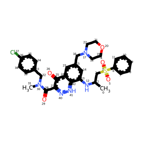 CC(CS(=O)(=O)c1ccccc1)Nc1cc(CN2CCOCC2)cc2c(=O)c(C(=O)N(C)Cc3ccc(Cl)cc3)n[nH]c12